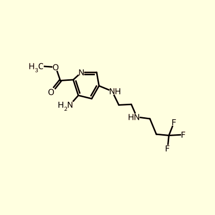 COC(=O)c1ncc(NCCNCCC(F)(F)F)cc1N